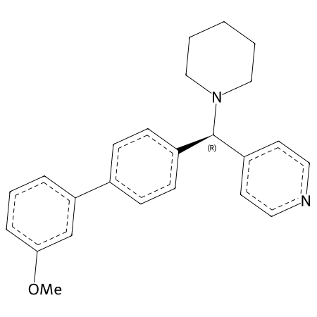 COc1cccc(-c2ccc([C@H](c3ccncc3)N3CCCCC3)cc2)c1